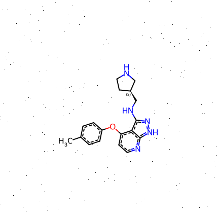 Cc1ccc(Oc2ccnc3[nH]nc(NC[C@H]4CCNC4)c23)cc1